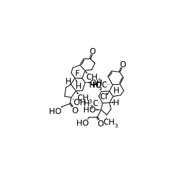 C[C@H]1C[C@H]2[C@@H]3CCC4=CC(=O)C=C[C@]4(C)[C@@]3(Cl)[C@@H](O)C[C@]2(C)[C@@]1(O)C(=O)CO.C[C@]12CCC(=O)C=C1CC[C@H]1[C@@H]3CC[C@](O)(C(=O)CO)[C@@]3(C)C[C@H](O)[C@@]12F